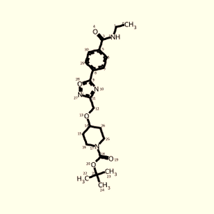 CCNC(=O)c1ccc(-c2nc(COC3CCN(C(=O)OC(C)(C)C)CC3)no2)cc1